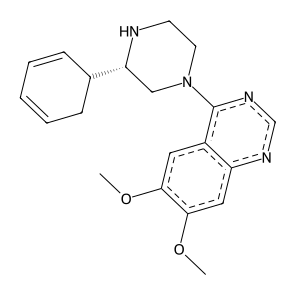 COc1cc2ncnc(N3CCN[C@@H](C4C=CC=CC4)C3)c2cc1OC